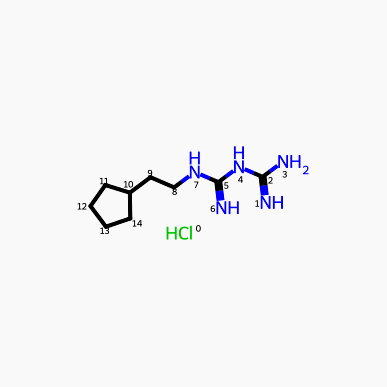 Cl.N=C(N)NC(=N)NCCC1CCCC1